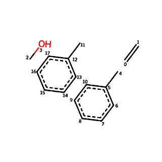 C=C.CO.Cc1ccccc1.Cc1ccccc1